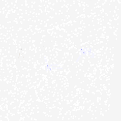 N/C=N\CS